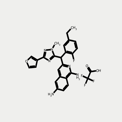 CCc1ccc(F)c(C(c2cc3cc(N)ccc3c(N)n2)c2nc(-c3ccoc3)nn2C)c1.O=C(O)C(F)(F)F